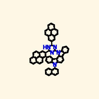 c1ccc2c(-n3c4ccccc4c4c5c(ccc43)c3ccccc3n5C3=NC(c4cc5ccc6cccc7ccc(c4)c5c67)NC(c4cc5ccc6cccc7ccc(c4)c5c67)=N3)cccc2c1